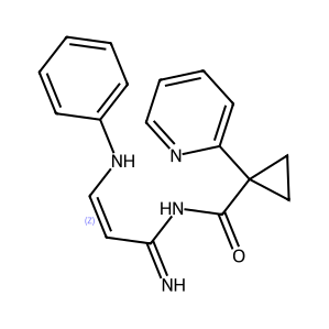 N=C(/C=C\Nc1ccccc1)NC(=O)C1(c2ccccn2)CC1